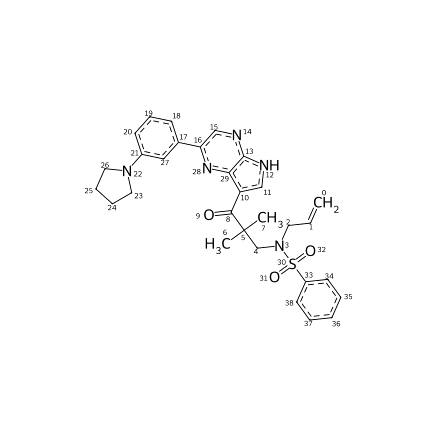 C=CCN(CC(C)(C)C(=O)c1c[nH]c2ncc(-c3cccc(N4CCCC4)c3)nc12)S(=O)(=O)c1ccccc1